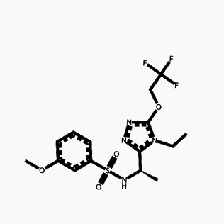 CCn1c(OCC(F)(F)F)nnc1[C@@H](C)NS(=O)(=O)c1cccc(OC)c1